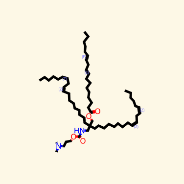 CCCCC/C=C\C/C=C\CCCCCCCCC(CCCCCCCC/C=C\C/C=C\CCCCC)(CNC(=O)OCCCN(C)C)COC(=O)CCCCCCC/C=C/C/C=C/CCCCC